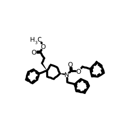 COC(=O)CC[C@]1(c2ccccc2)CC[C@H](N(Cc2ccccc2)C(=O)OCc2ccccc2)CC1